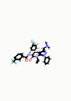 CCN1C(=O)[C@H](NC(=O)c2cccc(C(F)(F)F)c2)[C@H](c2ccc(F)cc2)c2c(CN(C)C)nn(-c3ccccc3)c21